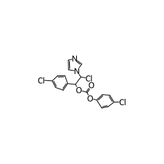 O=C(Oc1ccc(Cl)cc1)OC(c1ccc(Cl)cc1)C(Cl)n1ccnc1